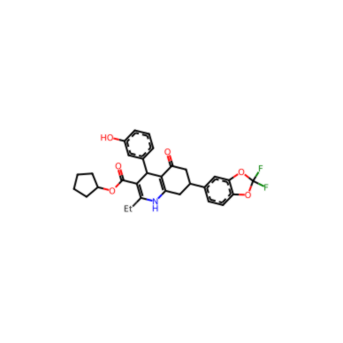 CCC1=C(C(=O)OC2CCCC2)C(c2cccc(O)c2)C2=C(CC(c3ccc4c(c3)OC(F)(F)O4)CC2=O)N1